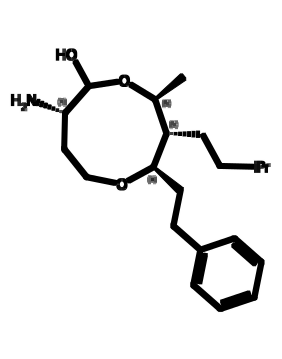 CC(C)CC[C@H]1[C@H](C)OC(O)[C@@H](N)CCO[C@@H]1CCc1ccccc1